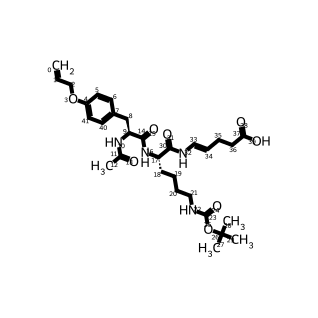 C=CCOc1ccc(C[C@H](NC(C)=O)C(=O)N[C@@H](CCCCNC(=O)OC(C)(C)C)C(=O)NC=CCCC(=O)O)cc1